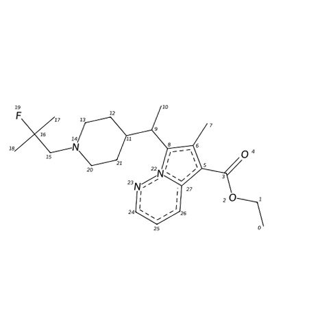 CCOC(=O)c1c(C)c(C(C)C2CCN(CC(C)(C)F)CC2)n2ncccc12